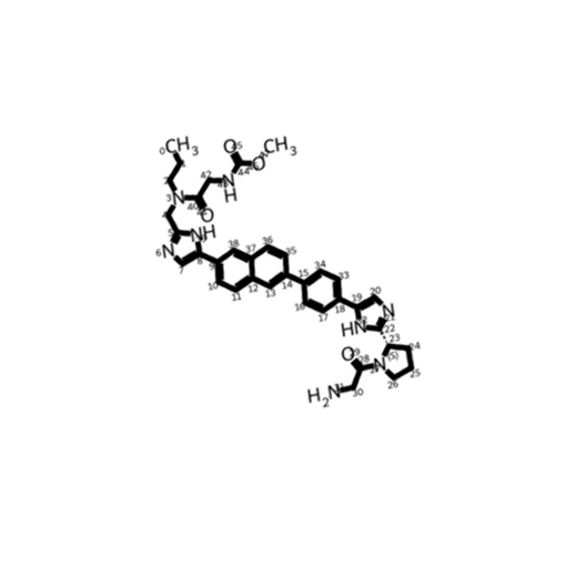 CCCN(Cc1ncc(-c2ccc3cc(-c4ccc(-c5cnc([C@@H]6CCCN6C(=O)CN)[nH]5)cc4)ccc3c2)[nH]1)C(=O)CNC(=O)OC